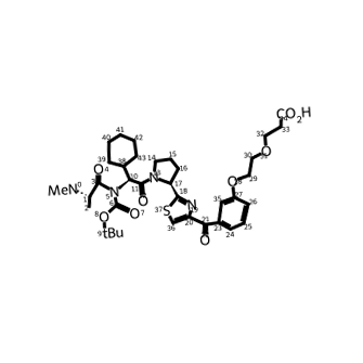 CN[C@@H](C)C(=O)N(C(=O)OC(C)(C)C)[C@H](C(=O)N1CCC[C@H]1c1nc(C(=O)c2cccc(OCCOCCC(=O)O)c2)cs1)C1CCCCC1